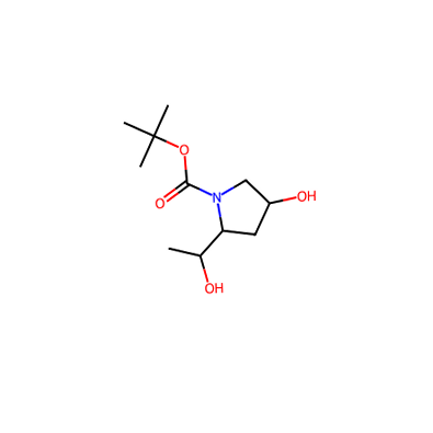 CC(O)C1CC(O)CN1C(=O)OC(C)(C)C